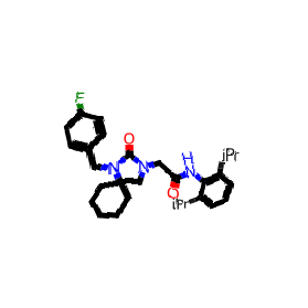 CC(C)c1cccc(C(C)C)c1NC(=O)CN1CC2(CCCCC2)N(Cc2ccc(F)cc2)C1=O